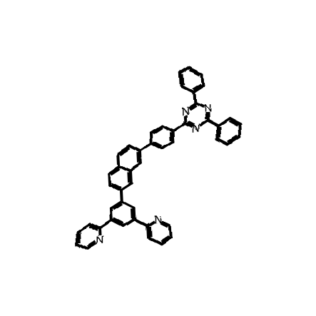 c1ccc(-c2nc(-c3ccccc3)nc(-c3ccc(-c4ccc5ccc(-c6cc(-c7ccccn7)cc(-c7ccccn7)c6)cc5c4)cc3)n2)cc1